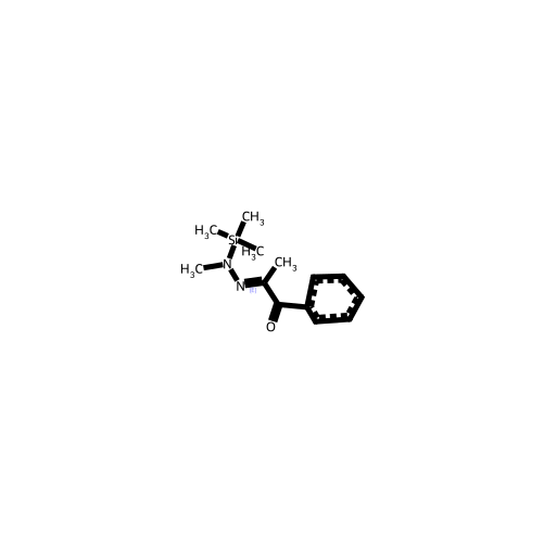 C/C(=N\N(C)[Si](C)(C)C)C(=O)c1ccccc1